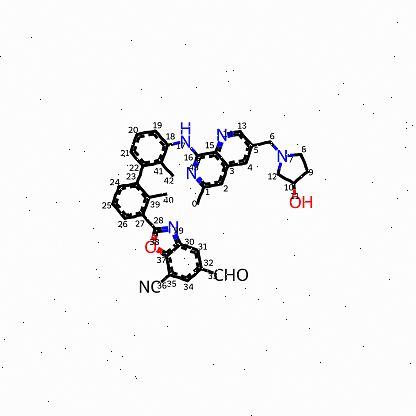 Cc1cc2cc(CN3CCC(O)C3)cnc2c(Nc2cccc(-c3cccc(-c4nc5cc(C=O)cc(C#N)c5o4)c3C)c2C)n1